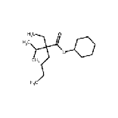 CCCCC(CC)(C(=O)OC1CCCCC1)C(C)C